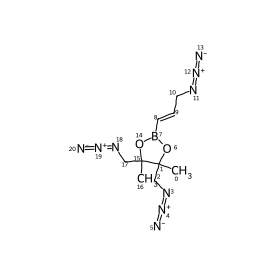 CC1(CN=[N+]=[N-])OB(/C=C/CN=[N+]=[N-])OC1(C)CN=[N+]=[N-]